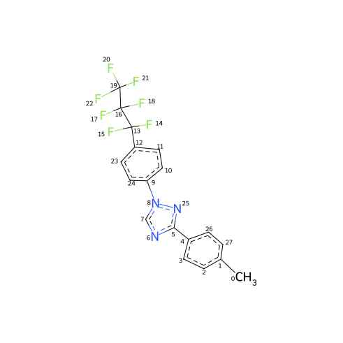 Cc1ccc(-c2ncn(-c3ccc(C(F)(F)C(F)(F)C(F)(F)F)cc3)n2)cc1